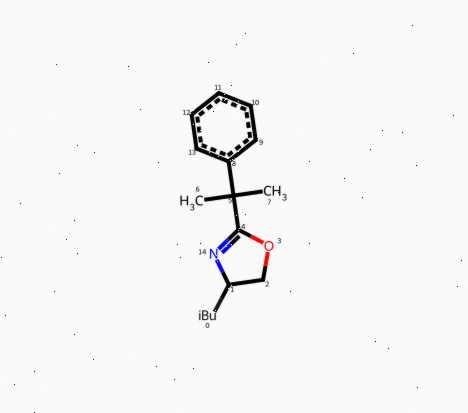 CCC(C)C1COC(C(C)(C)c2ccccc2)=N1